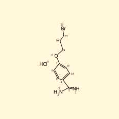 Cl.N=C(N)c1ccc(OCCCBr)cc1